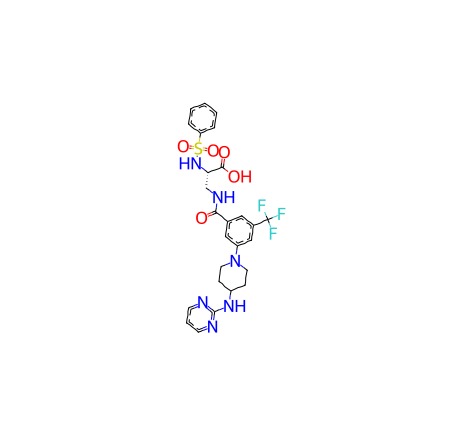 O=C(NC[C@H](NS(=O)(=O)c1ccccc1)C(=O)O)c1cc(N2CCC(Nc3ncccn3)CC2)cc(C(F)(F)F)c1